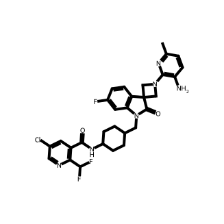 Cc1ccc(N)c(N2CC3(C2)C(=O)N(CC2CCC(NC(=O)c4cc(Cl)cnc4C(F)F)CC2)c2cc(F)ccc23)n1